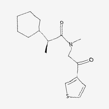 C[C@H](C(=O)N(C)CC(=O)c1ccsc1)C1CCCCC1